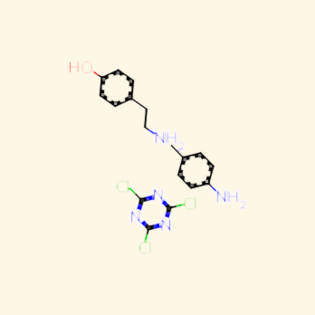 Cc1ccc(N)cc1.Clc1nc(Cl)nc(Cl)n1.NCCc1ccc(O)cc1